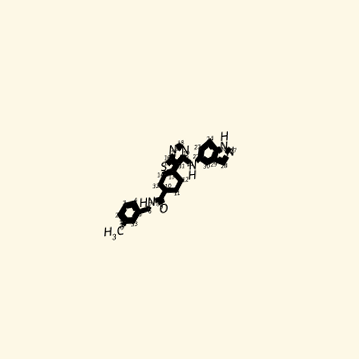 Cc1cccc(CNC(=O)C2CCc3c(sc4ncnc(Nc5ccc6[nH]ncc6c5)c34)C2)c1